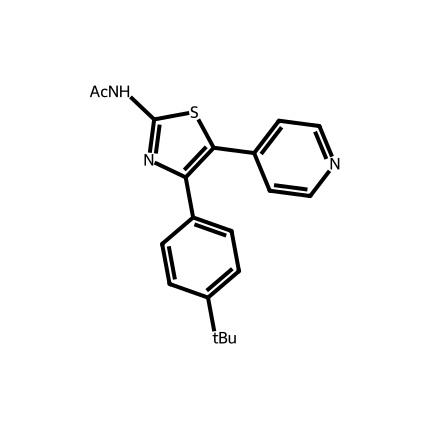 CC(=O)Nc1nc(-c2ccc(C(C)(C)C)cc2)c(-c2ccncc2)s1